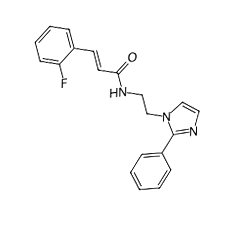 O=C(C=Cc1ccccc1F)NCCn1ccnc1-c1ccccc1